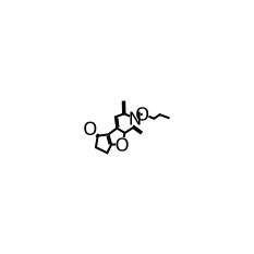 C=C1C=C2C3=C(CCC3=O)OC2C(=C)N1OCCC